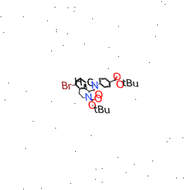 CN(C(=O)C1c2cccc(Br)c2CCN1C(=O)OC(C)(C)C)c1ccc(C(=O)OC(C)(C)C)cc1